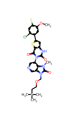 COc1cc(-c2cc3[nH]c(=O)n(-c4cncc5c4n(C)c(=O)n5COCC[Si](C)(C)C)c(=O)c3s2)c(Cl)cc1F